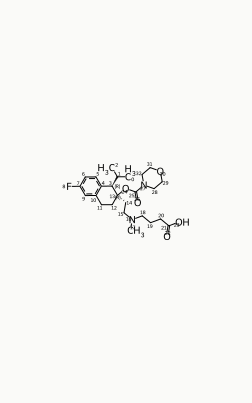 CC(C)[C@@H]1c2ccc(F)cc2CC[C@]1(CCN(C)CCCC(=O)O)OC(=O)N1CCOCC1